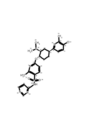 Cc1nc(O[C@H]2CC[C@H](c3ccc(Cl)c(C(F)(F)F)n3)C[C@@H]2N(C)C)ccc1S(=O)(=O)Nc1ccncn1